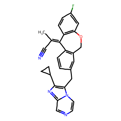 CC(C#N)=C1c2ccc(Cc3c(C4CC4)nc4cnccn34)cc2COc2cc(F)ccc21